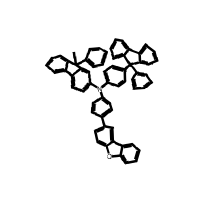 CC1(c2ccccc2)c2ccccc2-c2ccc(N(c3ccc(-c4ccc5oc6ccccc6c5c4)cc3)c3ccc(C4(c5ccccc5)c5ccccc5-c5ccccc54)cc3)cc21